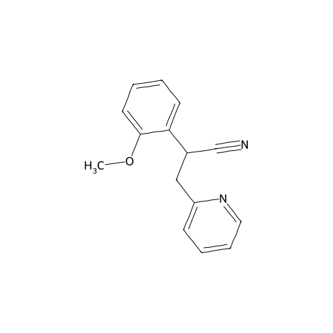 COc1ccccc1C(C#N)Cc1ccccn1